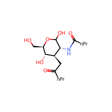 CCCC(=O)C[C@H]1[C@H](O)[C@@H](CO)OC(O)[C@@H]1NC(=O)CCC